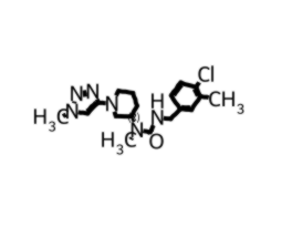 Cc1cc(CNC(=O)N(C)[C@@H]2CCCN(c3cn(C)nn3)C2)ccc1Cl